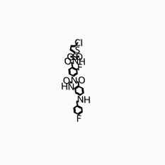 O=C(NS(=O)(=O)c1ccc(Cl)s1)c1ccc(-n2c(=O)[nH]c3cc(NCc4ccc(F)cc4)ccc3c2=O)cc1F